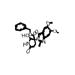 COc1cc2nc(C)n([C@@]3(C(=O)OCc4ccccc4)CCC(=O)NC3O)c(=O)c2cc1OC